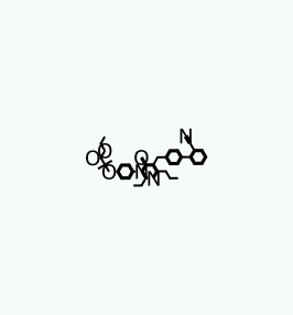 CCCc1nc(CC)n(-c2ccc(OC(C)(C)C(=O)OCC)cc2)c(=O)c1Cc1ccc(-c2ccccc2C#N)cc1